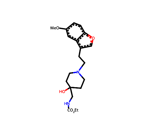 CCOC(=O)NCC1(O)CCN(CCc2coc3ccc(OC)cc23)CC1